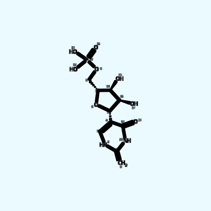 C=C1NC=C([C@@H]2O[C@H](COP(=O)(O)O)[C@@H](O)[C@H]2O)C(=O)N1